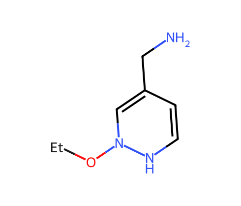 CCON1C=C(CN)C=CN1